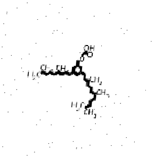 C=C(CC/C=C(\C)CCC=C(C)C)CCC1C=C(CC/C=C(\C)CCC=C(C)C)CC(COCC(=O)O)C1